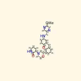 COc1cnc(CNc2ccc3c(c2)Cc2cccc(C4CN(c5ccc[nH]c5=O)CCO4)c2O3)cn1